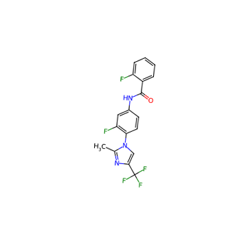 Cc1nc(C(F)(F)F)cn1-c1ccc(NC(=O)c2ccccc2F)cc1F